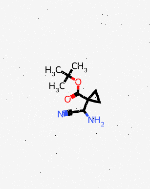 CC(C)(C)OC(=O)C1(C(N)C#N)CC1